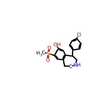 CS(=O)(=O)c1cc2c(cc1O)C(c1ccc(Cl)cc1)CNCC2